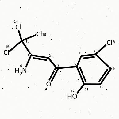 N/C(=C\C(=O)c1cc(Cl)ccc1O)C(Cl)(Cl)Cl